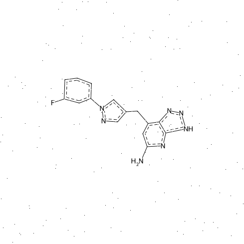 Nc1cc(Cc2cnn(-c3cccc(F)c3)c2)c2nn[nH]c2n1